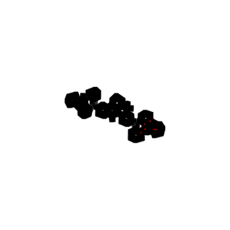 Cc1c2c3c(cccc3c3cc(N(c4ccccc4)c4cccc5c4C(C)(C)c4ccccc4-5)ccc13)C(C)(C)c1cc(N(c3ccccc3-c3ccccc3)c3cccc4c3C(C)(C)c3ccccc3-4)ccc1-2